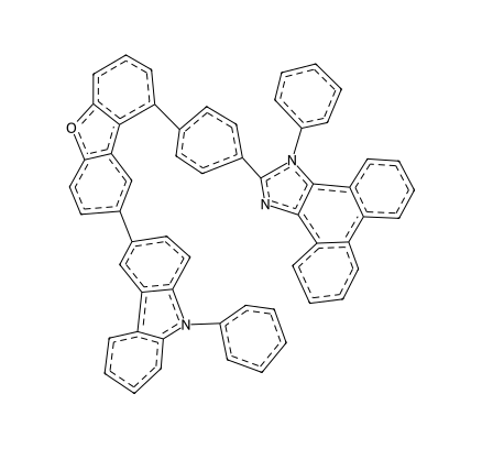 c1ccc(-n2c(-c3ccc(-c4cccc5oc6ccc(-c7ccc8c(c7)c7ccccc7n8-c7ccccc7)cc6c45)cc3)nc3c4ccccc4c4ccccc4c32)cc1